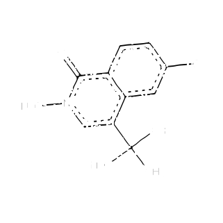 Cn1cc(C(C)(C)C)c2cc(Cl)ccc2c1=O